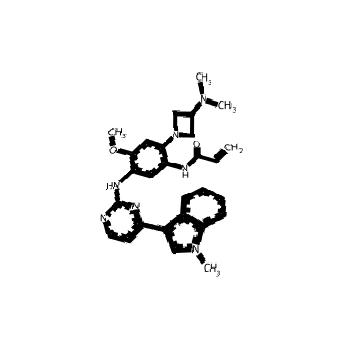 C=CC(=O)Nc1cc(Nc2nccc(-c3cn(C)c4ccccc34)n2)c(OC)cc1N1CC(N(C)C)C1